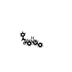 O=C(NC1CC1c1ccccc1)c1cccc(Nc2ccc(-c3ccccc3)nn2)c1